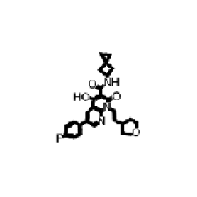 O=C(NC1CC2(CC2)C1)c1c(O)c2cc(-c3ccc(F)cc3)cnc2n(CCC2CCOCC2)c1=O